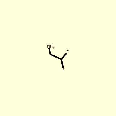 NC[C](F)F